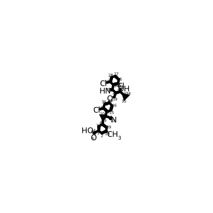 Cc1cc(C(=O)O)cc(C2CC2(C#N)c2ccc(OC/C(C(=N)c3c(Cl)cccc3Cl)=C(/O)C3CC3)cc2Cl)c1